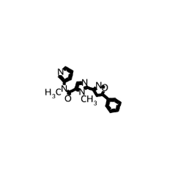 CN(C(=O)c1cnc(C2=NOC(c3ccccc3)C2)n1C)c1cccnc1